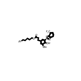 CC(C)CCCCCOC(=O)CCc1cc(-n2nc3cccc(C(F)(F)F)c3n2)c(O)c(C(C)(C)C)c1